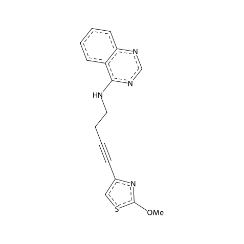 COc1nc(C#CCCNc2ncnc3ccccc23)cs1